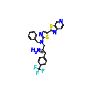 N[C@@H](Cc1ccc(C(F)(F)F)cc1)CN(Cc1ccccc1)c1ncc(-c2nc3ccncc3s2)s1